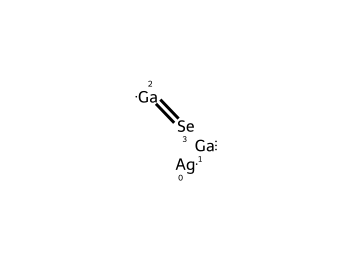 [Ag].[Ga].[Ga]=[Se]